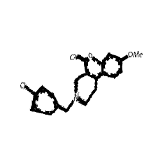 COc1ccc2c3c(c(=O)oc2c1)CN(Cc1ccc(Cl)cc1)CC3